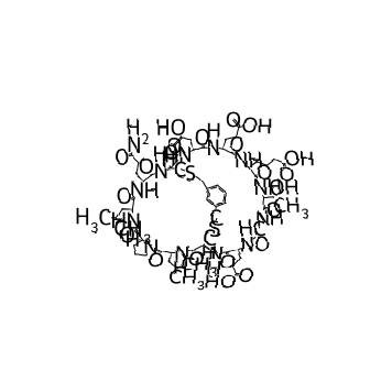 CC(C)C[C@@H]1NC(=O)[C@@H]2CCCN2C(=O)[C@H](CC(C)C)NC(=O)[C@@H]2CSCc3cccc(c3)CSC[C@H](NC(=O)[C@H](CCC(N)=O)NC1=O)C(=O)N[C@@H](CC(=O)O)C(=O)N[C@@H](CCC(=O)O)C(=O)N[C@@H](CCCC(=O)O)C(=O)N[C@@H]([C@@H](C)O)C(=O)NCC(=O)N[C@@H](CCC(=O)O)C(=O)N2